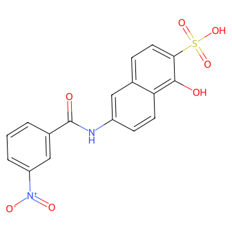 O=C(Nc1ccc2c(O)c(S(=O)(=O)O)ccc2c1)c1cccc([N+](=O)[O-])c1